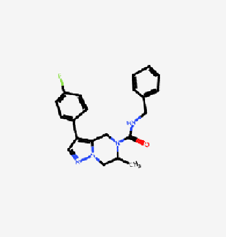 CC1Cn2ncc(-c3ccc(F)cc3)c2CN1C(=O)NCc1ccccc1